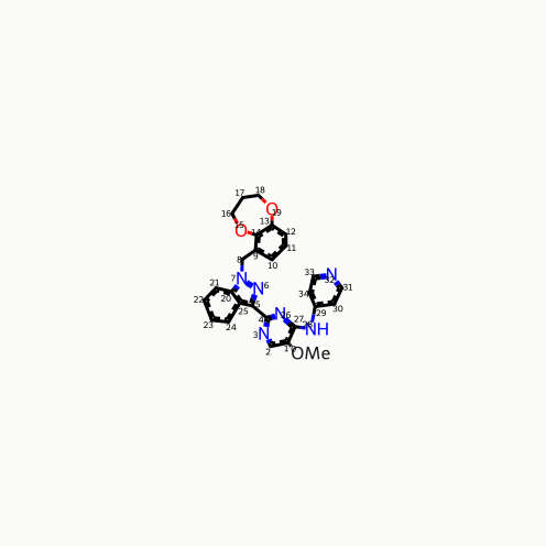 COc1cnc(-c2nn(Cc3cccc4c3OCCCO4)c3ccccc23)nc1Nc1ccncc1